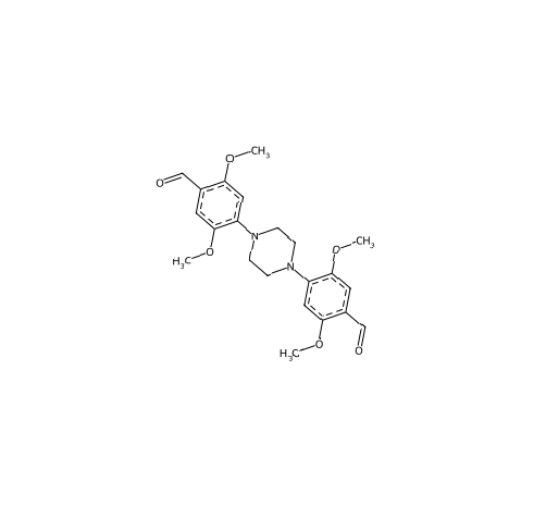 COc1cc(N2CCN(c3cc(OC)c(C=O)cc3OC)CC2)c(OC)cc1C=O